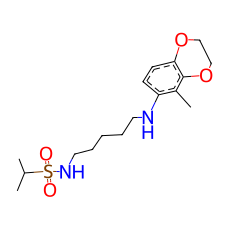 Cc1c(NCCCCCNS(=O)(=O)C(C)C)ccc2c1OCCO2